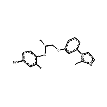 Cc1nccn1-c1cccc(OC[C@H](C)Oc2ccc(C#N)cc2F)c1